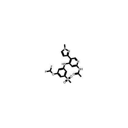 CC(=O)Nc1cc(Nc2cc(OC(F)F)cc(S(C)(=O)=O)c2)c(-c2ccn(C)n2)cn1